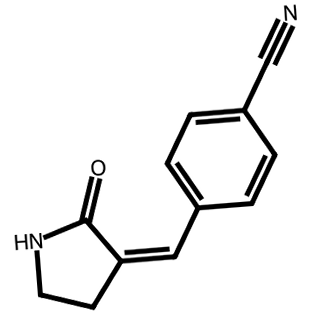 N#Cc1ccc(C=C2CCNC2=O)cc1